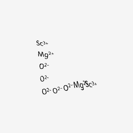 [Mg+2].[Mg+2].[O-2].[O-2].[O-2].[O-2].[O-2].[Sc+3].[Sc+3]